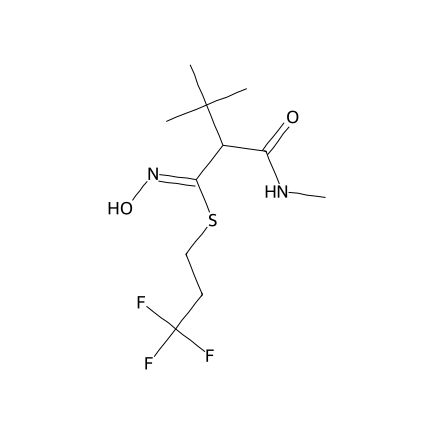 CNC(=O)C(C(=NO)SCCC(F)(F)F)C(C)(C)C